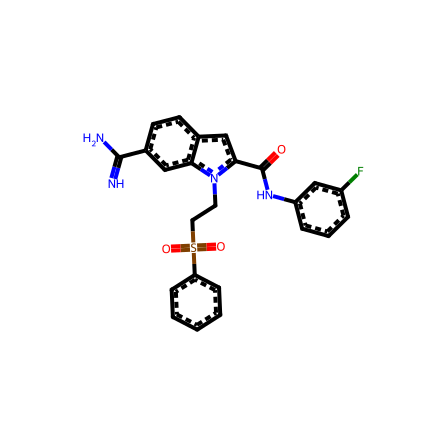 N=C(N)c1ccc2cc(C(=O)Nc3cccc(F)c3)n(CCS(=O)(=O)c3ccccc3)c2c1